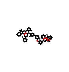 Cc1cc(-c2ccc(N(c3ccc4oc5ccccc5c4c3)c3c(C)cccc3-c3ccc4c(c3)C(C)(C)c3ccccc3-4)c(C)c2)ccc1N(c1ccc2oc3ccccc3c2c1)c1c(C)cccc1-c1ccc2c(c1)C(C)(C)c1ccccc1-2